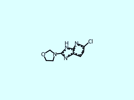 Clc1ccc2nc(N3CCOC3)[nH]c2n1